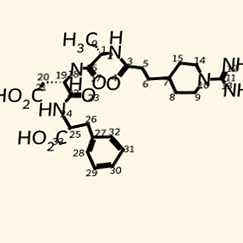 C[C@H](NC(=O)CCC1CCN(C(=N)N)CC1)C(=O)N[C@@H](CC(=O)O)C(=O)N[C@@H](Cc1ccccc1)C(=O)O